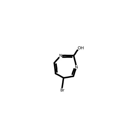 OC1=NC=CC(Br)C=N1